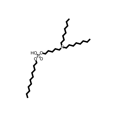 CCCCCCCCCCCOP(=O)(O)OCCCCCN(CCCCCCCC)CCCCCCCC